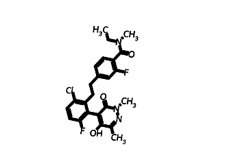 CCN(C)C(=O)c1ccc(CCc2c(Cl)ccc(F)c2-c2c(O)c(C)nn(C)c2=O)cc1F